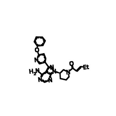 CCC=CC(=O)N1CCC[C@@H](n2nc(-c3ccc(Oc4ccccc4)nc3)c3c(N)ncnc32)C1